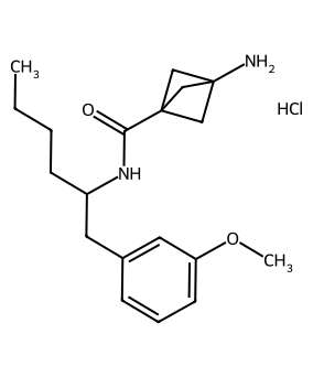 CCCCC(Cc1cccc(OC)c1)NC(=O)C12CC(N)(C1)C2.Cl